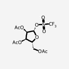 CC(=O)OC[C@H]1O[C@@H](OS(=O)(=O)C(F)(F)F)[C@H](OC(C)=O)[C@@H]1OC(C)=O